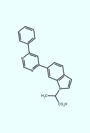 CC(C(=O)O)n1ccc2ccc(-c3cc(-c4ccccc4)ncn3)cc21